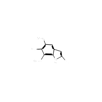 CNc1cc2cc(C(C)=O)[nH]c2c(OC)c1O